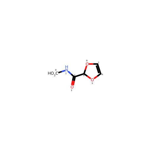 O=C(O)NC(=O)C1OC=CO1